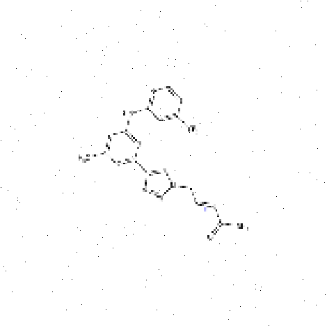 Cc1cc(Nc2cc(C(F)(F)F)ccn2)nc(-c2cn(C/C=C/C(N)=O)nn2)c1